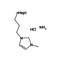 CCCCCCCCCCN1C=CN(C)C1.Cl.[InH3]